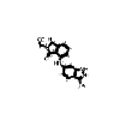 CC(C)c1n[nH]c2cc(Nc3cccc4c3C(=O)N(CC(=O)O)C4)ccc12